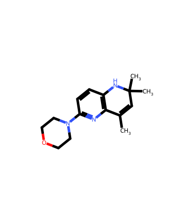 CC1=CC(C)(C)Nc2ccc(N3CCOCC3)nc21